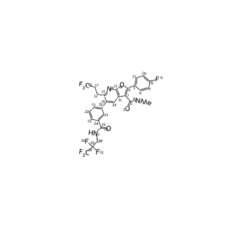 CNC(=O)c1c(-c2ccc(F)cc2)oc2nc(CCC(F)(F)F)c(-c3cccc(C(=O)NCC(F)(F)C(F)(F)F)c3)cc12